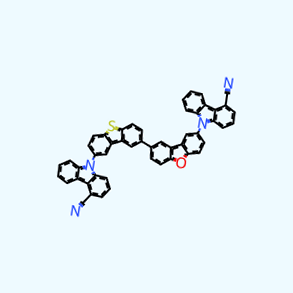 N#Cc1cccc2c1c1ccccc1n2-c1ccc2oc3ccc(-c4ccc5sc6ccc(-n7c8ccccc8c8c(C#N)cccc87)cc6c5c4)cc3c2c1